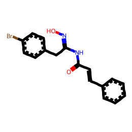 O=C(C=Cc1ccccc1)N/C(Cc1ccc(Br)cc1)=N/O